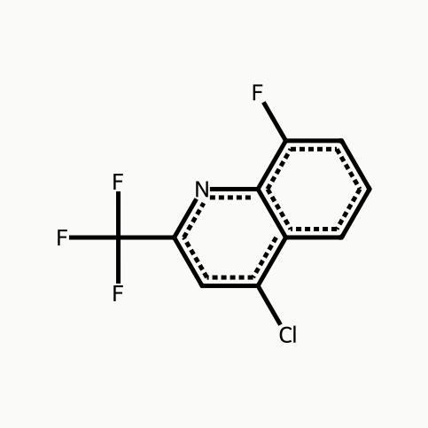 Fc1cccc2c(Cl)cc(C(F)(F)F)nc12